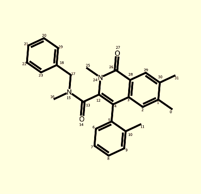 Cc1cc2c(-c3ccccc3C)c(C(=O)N(C)Cc3ccccc3)n(C)c(=O)c2cc1C